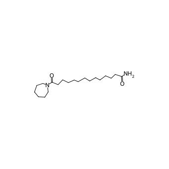 NC(=O)CCCCCCCCCCCCC(=O)N1CCCCCC1